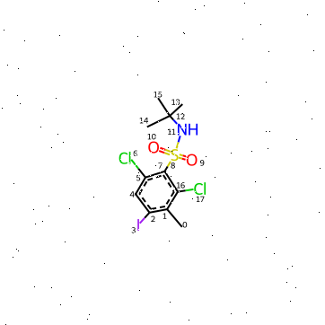 Cc1c(I)cc(Cl)c(S(=O)(=O)NC(C)(C)C)c1Cl